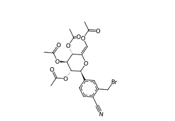 CC(=O)O/C=C1/O[C@@H](c2ccc(C#N)c(CBr)c2)[C@H](OC(C)=O)[C@@H](OC(C)=O)[C@@H]1OC(C)=O